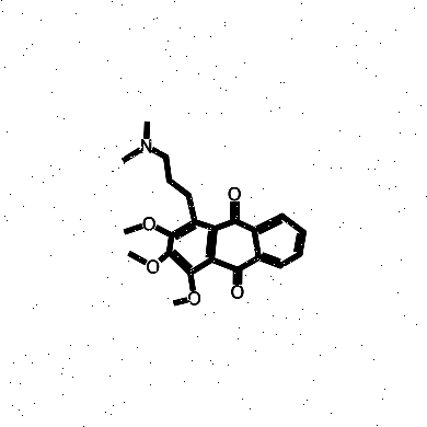 COc1c(CCCN(C)C)c2c(c(OC)c1OC)C(=O)c1ccccc1C2=O